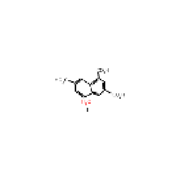 O.O=C(O)c1cc(C(=O)O)c2cc(C(=O)O)ccc2c1.[Ti]